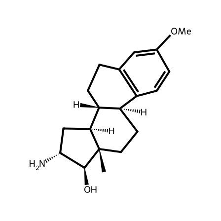 COc1ccc2c(c1)CC[C@@H]1[C@@H]2CC[C@]2(C)[C@@H](O)[C@H](N)C[C@@H]12